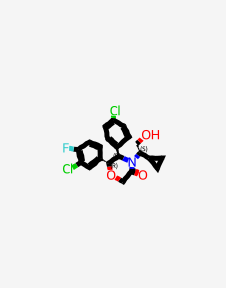 O=C1CO[C@H](c2ccc(F)c(Cl)c2)[C@@H](c2ccc(Cl)cc2)N1[C@H](CO)C1CC1